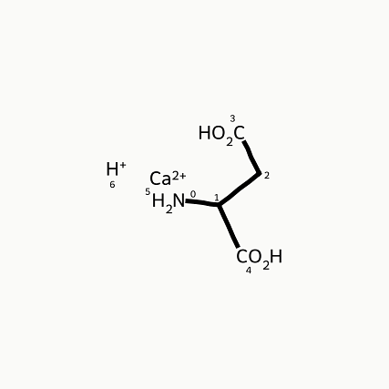 NC(CC(=O)O)C(=O)O.[Ca+2].[H+]